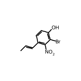 C/C=C/c1ccc(O)c(Br)c1[N+](=O)[O-]